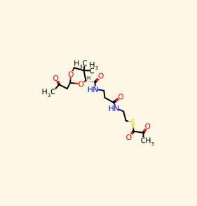 CC(=O)CC1OCC(C)(C)[C@H](C(=O)NCCC(=O)NCCSC(=O)C(C)=O)O1